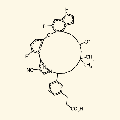 CC1(C)CCCC(c2cccc(CCC(=O)O)c2)n2cc(C#N)c(n2)-c2cc(ccc2F)Oc2c(F)cc3[nH]ccc3c2CC[S+]([O-])C1